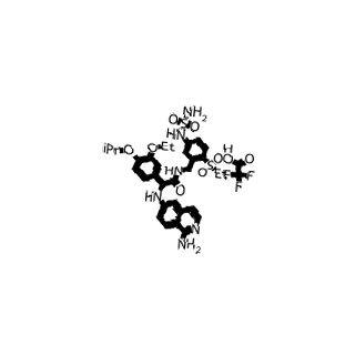 CCOc1cc(C(Nc2ccc3c(N)nccc3c2)C(=O)NCc2cc(NS(N)(=O)=O)ccc2S(=O)(=O)CC)ccc1OC(C)C.O=C(O)C(F)(F)F